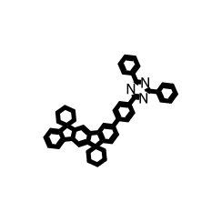 C1=C2C(=CC3c4ccccc4C4(CCCCC4)C13)C1(CCCCC1)c1ccc(-c3ccc(-c4nc(-c5ccccc5)nc(-c5ccccc5)n4)cc3)cc12